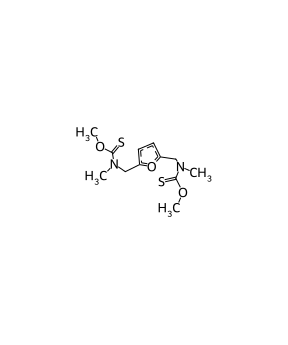 COC(=S)N(C)Cc1ccc(CN(C)C(=S)OC)o1